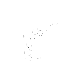 C=C(/N=C(\C=C/C)c1ccc(COCCOC)cc1)N1CCC(F)(C(=O)NC2(C)CCCCC2CCN)CC1